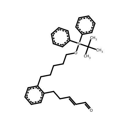 CC(C)(C)[Si](OCCCCCc1ccccc1CCC=CC=O)(c1ccccc1)c1ccccc1